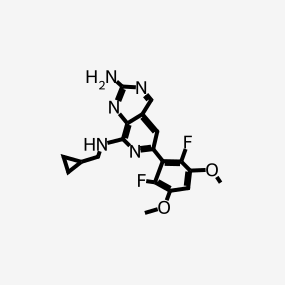 COc1cc(OC)c(F)c(-c2cc3cnc(N)nc3c(NCC3CC3)n2)c1F